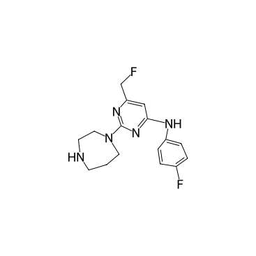 FCc1cc(Nc2ccc(F)cc2)nc(N2CCCNCC2)n1